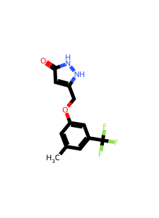 Cc1cc(OCc2cc(=O)[nH][nH]2)cc(C(F)(F)F)c1